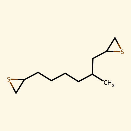 CC(CCCCC1CS1)CC1CS1